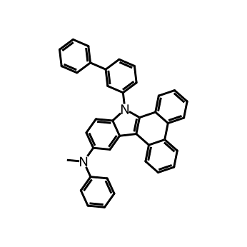 CN(c1ccccc1)c1ccc2c(c1)c1c3ccccc3c3ccccc3c1n2-c1cccc(-c2ccccc2)c1